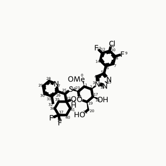 CO[C@@H]1[C@@H](n2cc(-c3cc(F)c(Cl)c(F)c3)nn2)[C@@H](O)[C@@H](CO)O[C@H]1SC(c1ncccc1C)C1(O)CCC(F)(F)CC1